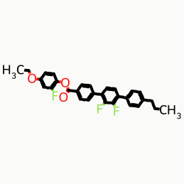 CCCc1ccc(-c2ccc(-c3ccc(C(=O)Oc4ccc(OCC)cc4F)cc3)c(F)c2F)cc1